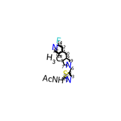 CC(=O)Nc1ncc(CN2CCC(Cc3cc(F)ncc3C)C2)s1